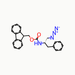 [N-]=[N+]=NC[C@H](Cc1ccccc1)NC(=O)OCC1c2ccccc2-c2ccccc21